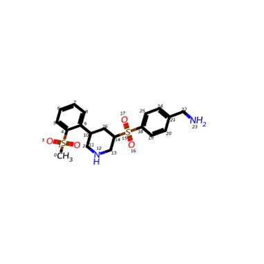 CS(=O)(=O)c1ccccc1C1CNCC(S(=O)(=O)c2ccc(CN)cc2)C1